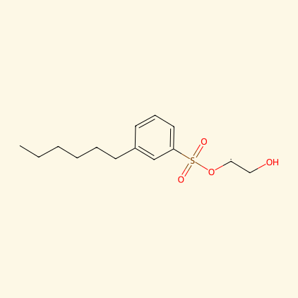 CCCCCCc1cccc(S(=O)(=O)O[CH]CO)c1